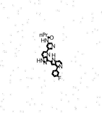 CCCC(=O)Nc1cncc(-c2ccc3[nH]nc(-c4cc5c(-c6cccc(F)c6)nccc5[nH]4)c3n2)c1